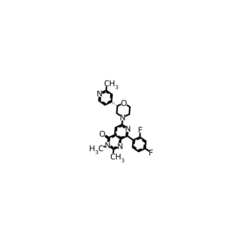 Cc1cc([C@H]2CN(c3cc4c(=O)n(C)c(C)nc4c(-c4ccc(F)cc4F)n3)CCO2)ccn1